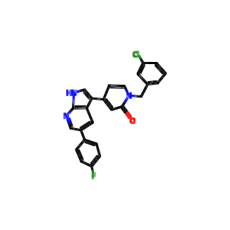 O=c1cc(-c2c[nH]c3ncc(-c4ccc(F)cc4)cc23)ccn1Cc1cccc(Cl)c1